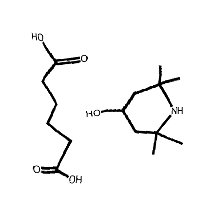 CC1(C)CC(O)CC(C)(C)N1.O=C(O)CCCCC(=O)O